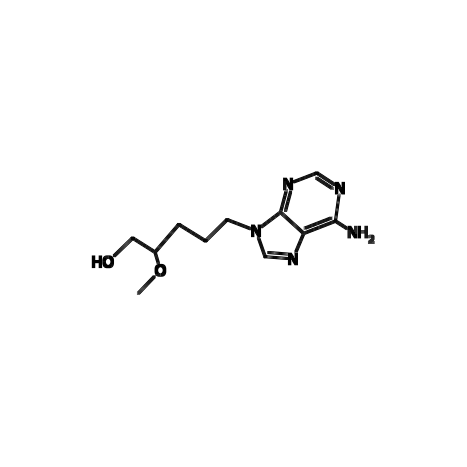 COC(CO)CCCn1cnc2c(N)ncnc21